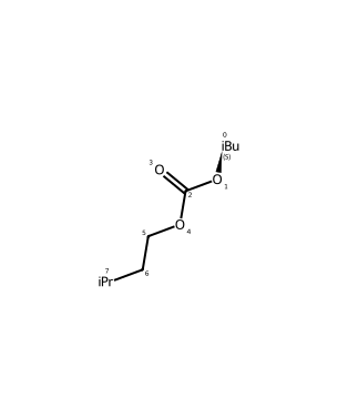 CC[C@H](C)OC(=O)OCCC(C)C